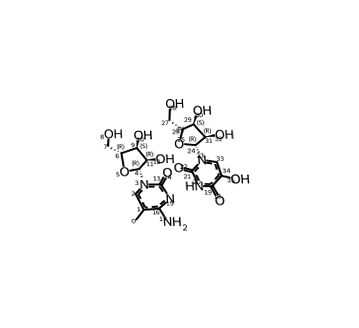 Cc1cn([C@@H]2O[C@H](CO)[C@@H](O)[C@H]2O)c(=O)nc1N.O=c1[nH]c(=O)n([C@@H]2O[C@H](CO)[C@@H](O)[C@H]2O)cc1O